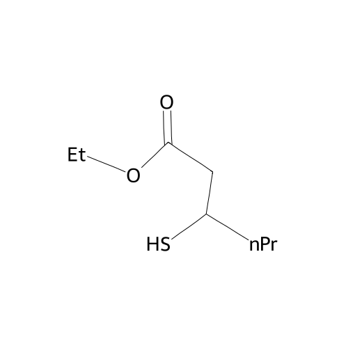 CCCC(S)CC(=O)OCC